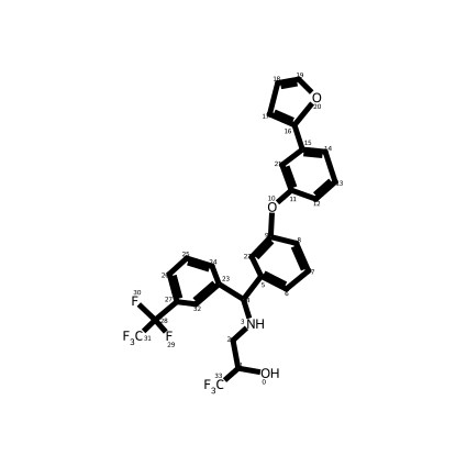 OC(CNC(c1cccc(Oc2cccc(-c3ccco3)c2)c1)c1cccc(C(F)(F)C(F)(F)F)c1)C(F)(F)F